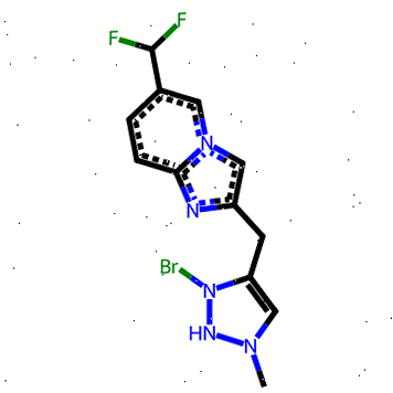 CN1C=C(Cc2cn3cc(C(F)F)ccc3n2)N(Br)N1